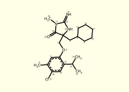 Cc1cc(OCC2(CC3CCCCC3)NC(=N)N(C)C2=O)c(C(C)C)cc1Cl